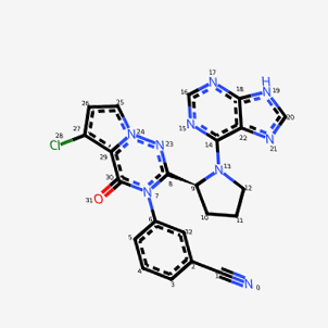 N#Cc1cccc(-n2c([C@@H]3CCCN3c3ncnc4[nH]cnc34)nn3ccc(Cl)c3c2=O)c1